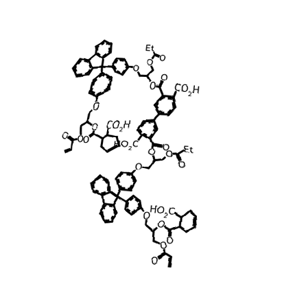 C=CC(=O)OCC(COc1ccc(C2(c3ccc(OCC(COC(=O)CC)OC(=O)c4cc(-c5ccc(C(=O)O)c(C(=O)OC(COC(=O)CC)COc6ccc(C7(c8ccc(OCC(COC(=O)C=C)OC(=O)C9CC=CCC9C(=O)O)cc8)c8ccccc8-c8ccccc87)cc6)c5)ccc4C(=O)O)cc3)c3ccccc3-c3ccccc32)cc1)OC(=O)C1CC=CCC1C(=O)O